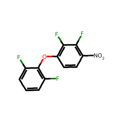 O=[N+]([O-])c1ccc(Oc2c(F)cccc2F)c(F)c1F